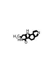 CC1Cc2[nH]c3c(c2C(=O)N1)CCc1cnccc1-3